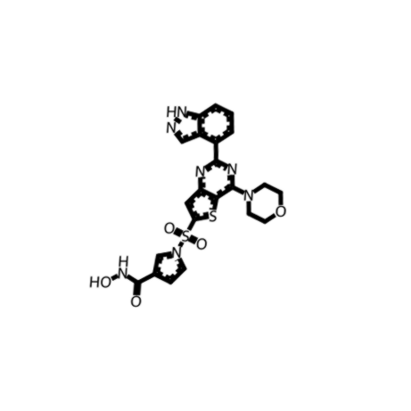 O=C(NO)c1ccn(S(=O)(=O)c2cc3nc(-c4cccc5[nH]ncc45)nc(N4CCOCC4)c3s2)c1